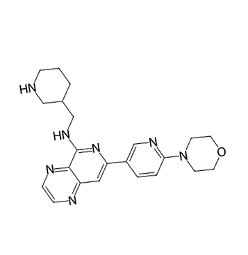 c1cnc2c(NCC3CCCNC3)nc(-c3ccc(N4CCOCC4)nc3)cc2n1